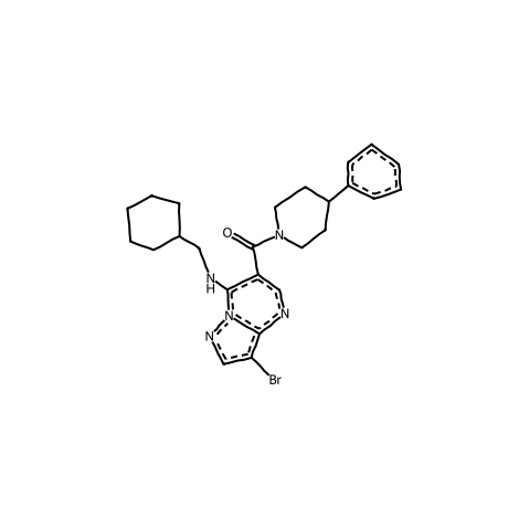 O=C(c1cnc2c(Br)cnn2c1NCC1CCCCC1)N1CCC(c2ccccc2)CC1